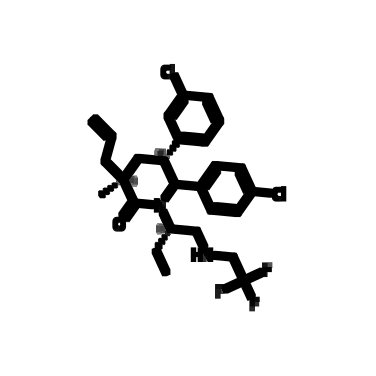 C=CC[C@@]1(C)C[C@H](c2cccc(Cl)c2)C(c2ccc(Cl)cc2)N([C@@H](CC)CNCC(F)(F)F)C1=O